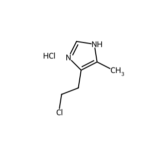 Cc1[nH]cnc1CCCl.Cl